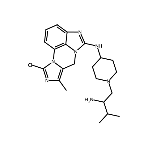 Cc1nc(Cl)n2c1Cn1c(NC3CCN(CC(N)C(C)C)CC3)nc3cccc-2c31